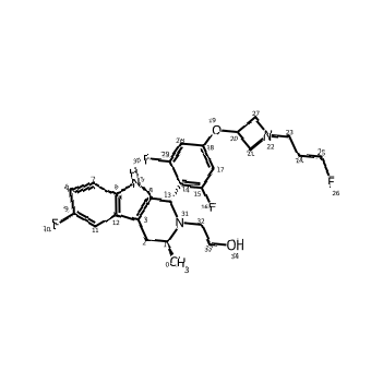 C[C@H]1Cc2c([nH]c3ccc(F)cc23)[C@H](c2c(F)cc(OC3CN(CCCF)C3)cc2F)N1CCO